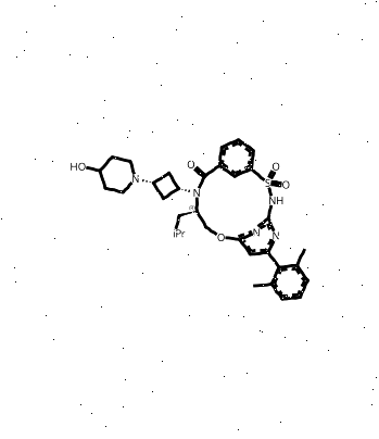 Cc1cccc(C)c1-c1cc2nc(n1)NS(=O)(=O)c1cccc(c1)C(=O)N([C@H]1C[C@@H](N3CCC(O)CC3)C1)[C@H](CC(C)C)CO2